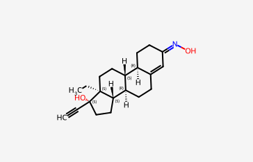 C#C[C@]1(O)CC[C@H]2[C@@H]3CCC4=CC(=NO)CC[C@@H]4[C@H]3CC[C@@]21CC